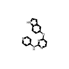 c1cc(Nc2nccc(Oc3ccc4[nH]ccc4c3)n2)ccn1